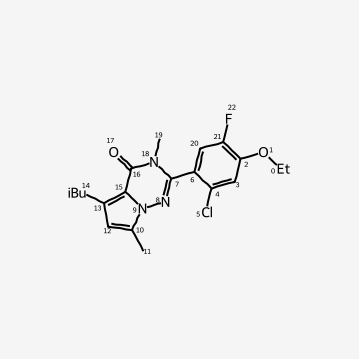 CCOc1cc(Cl)c(-c2nn3c(C)cc(C(C)CC)c3c(=O)n2C)cc1F